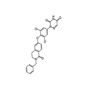 O=C1c2ccc(Oc3c(Cl)cc(-n4ncc(=O)[nH]c4=O)cc3Cl)cc2CCN1Cc1ccccc1